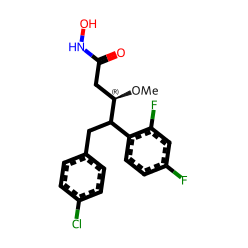 CO[C@H](CC(=O)NO)C(Cc1ccc(Cl)cc1)c1ccc(F)cc1F